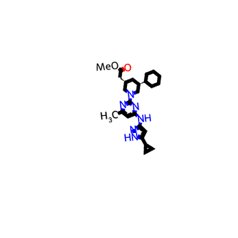 COC(=O)C[C@@H]1C[C@H](C2CCCCC2)CN(c2nc(C)cc(Nc3cc(C4CC4)[nH]n3)n2)C1